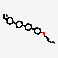 C=CC1CCC(C2CCC(C3CCC(C4CCC(OC/C=C/C)CC4)CC3)CC2)CC1